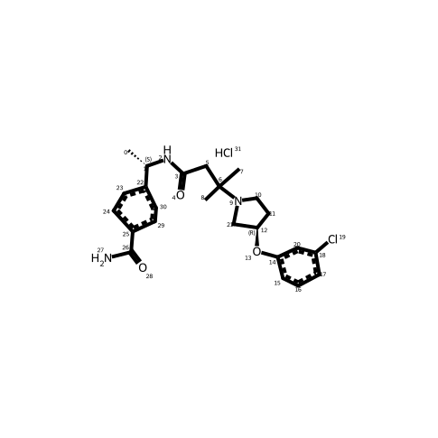 C[C@H](NC(=O)CC(C)(C)N1CC[C@@H](Oc2cccc(Cl)c2)C1)c1ccc(C(N)=O)cc1.Cl